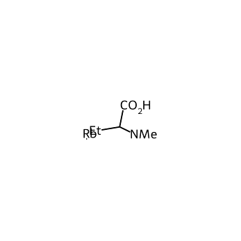 CCC(NC)C(=O)O.[Rb]